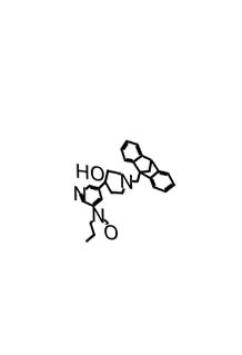 CCCN(C=O)c1cncc(C2(O)CCN(CC34CC(c5ccccc53)c3ccccc34)CC2)c1